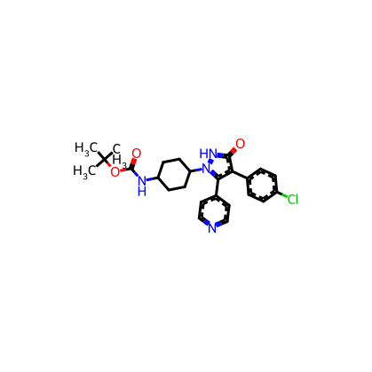 CC(C)(C)OC(=O)NC1CCC(n2[nH]c(=O)c(-c3ccc(Cl)cc3)c2-c2ccncc2)CC1